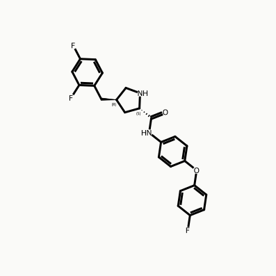 O=C(Nc1ccc(Oc2ccc(F)cc2)cc1)[C@@H]1C[C@@H](Cc2ccc(F)cc2F)CN1